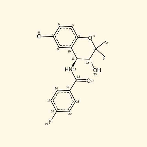 CC1(C)Oc2ccc(Cl)cc2[C@H](NC(=O)c2ccc(F)cc2)[C@H]1O